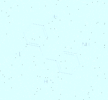 Nc1ccc(N)c(Sc2cc(O)ccc2Cl)c1